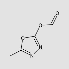 Cc1nnc(OC=O)o1